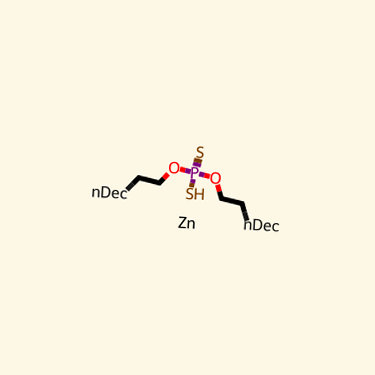 CCCCCCCCCCCCOP(=S)(S)OCCCCCCCCCCCC.[Zn]